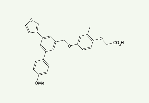 COc1ccc(-c2cc(COc3ccc(OCC(=O)O)c(C)c3)cc(-c3ccsc3)c2)cc1